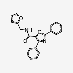 O=C(NCc1ccco1)c1oc(-c2ccccc2)nc1-c1ccccc1